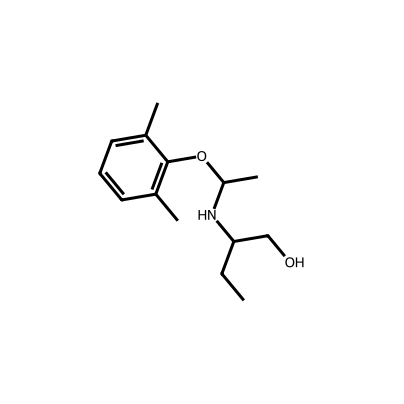 CCC(CO)NC(C)Oc1c(C)cccc1C